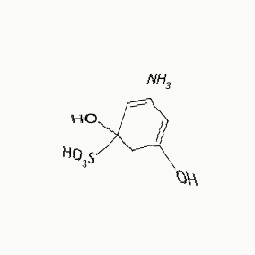 N.O=S(=O)(O)C1(O)C=CC=C(O)C1